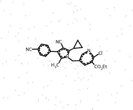 CCOC(=O)c1cc(Cn2c(C)c(-c3ccc(C#N)cc3)c(C#N)c2C2CC2)cnc1Cl